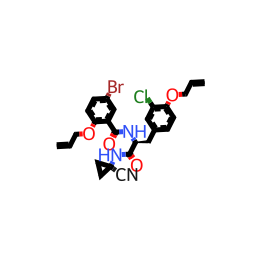 C=CCOc1ccc(C[C@H](NC(=O)c2cc(Br)ccc2OCC=C)C(=O)NC2(C#N)CC2)cc1Cl